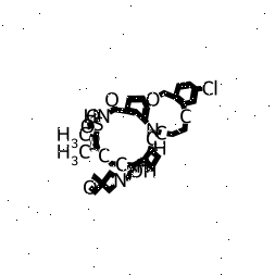 C[C@@H]1[C@@H](C)CCC[C@](O)(CN2CC3(COC3)C2)[C@@H]2CC[C@H]2CN2CCCCc3cc(Cl)ccc3COc3ccc(cc32)C(=O)NS1(=O)=O